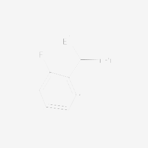 CCCC(CC)c1ccccc1F